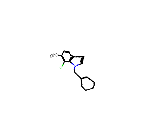 O=Cc1ccc2ccn(CC3CCCCC3)c2c1Cl